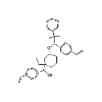 C=Cc1ccc(C(O)C2(CC)CCCC(OC(c3ccc(C=C)cc3)C(C)(C)c3ccccc3)C2)cc1